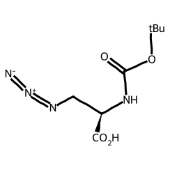 CC(C)(C)OC(=O)N[C@H](CN=[N+]=[N-])C(=O)O